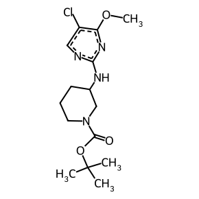 COc1nc(NC2CCCN(C(=O)OC(C)(C)C)C2)ncc1Cl